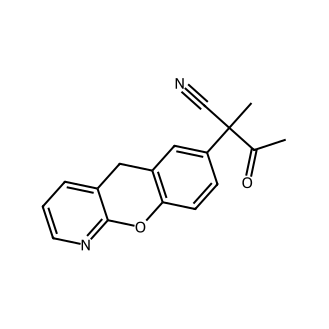 CC(=O)C(C)(C#N)c1ccc2c(c1)Cc1cccnc1O2